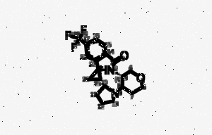 O=C(N[C@@H]1COCCC1N1CCCC1)c1ccc(C(F)(F)F)cc1C1CC1